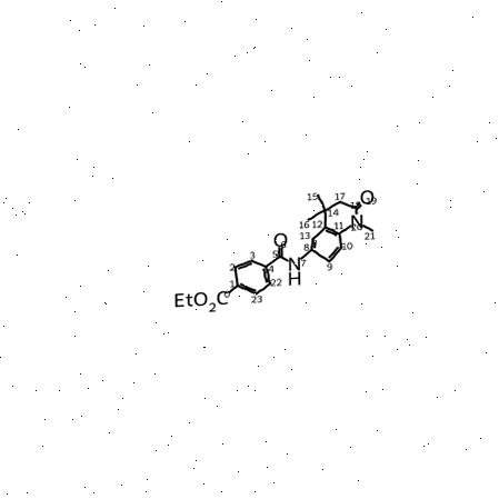 CCOC(=O)c1ccc(C(=O)Nc2ccc3c(c2)C(C)(C)CC(=O)N3C)cc1